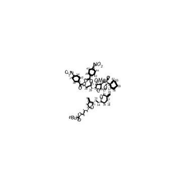 C=C1C[C@H](CCCOC(=O)C(C)(C)C)O[C@H]1CC[C@H]1C[C@@H](C)C(=C)[C@@H](C[C@@H]2O[C@H](C[C@@H](COC(=O)c3ccc([N+](=O)[O-])cc3)OC(=O)c3ccc([N+](=O)[O-])cc3)[C@H](OC)[C@H]2CS(=O)(=O)c2ccccc2)O1